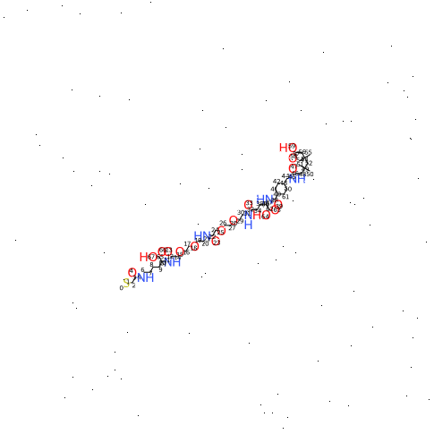 CSCC(=O)NCCCC[C@H](NC(=O)COCCOCCNC(=O)COCCOCCNC(=O)CC[C@@H](NC(=O)C1CCC(CNC(=O)CC(C)(C)CC(C)(C)CC(=O)O)CC1)C(=O)O)C(=O)O